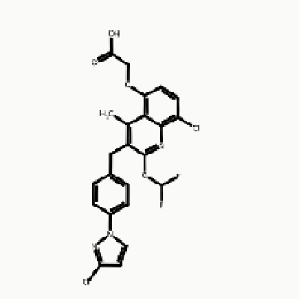 Cc1c(Cc2ccc(-n3ccc(Cl)n3)cc2)c(OC(F)F)nc2c(Cl)ccc(OCC(=O)O)c12